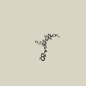 Cc1nc(NCc2cnc(C)s2)cc(OC[C@H]2C[C@@H]2c2ccc3ncccc3n2)n1